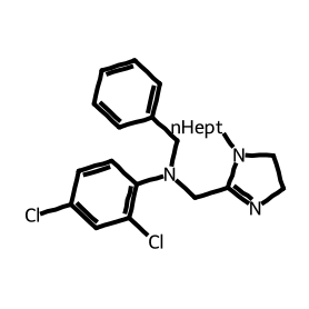 CCCCCCCN1CCN=C1CN(Cc1ccccc1)c1ccc(Cl)cc1Cl